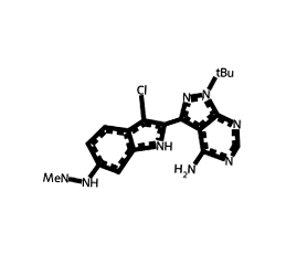 CNNc1ccc2c(Cl)c(-c3nn(C(C)(C)C)c4ncnc(N)c34)[nH]c2c1